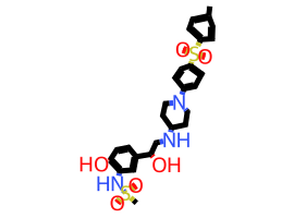 Cc1ccc(S(=O)(=O)c2ccc(N3CCC(NCC(O)c4ccc(O)c(NS(C)(=O)=O)c4)CC3)cc2)cc1